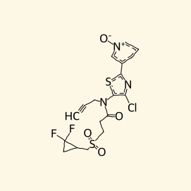 C#CCN(C(=O)CCS(=O)(=O)CC1CC1(F)F)c1sc(-c2ccc[n+]([O-])c2)nc1Cl